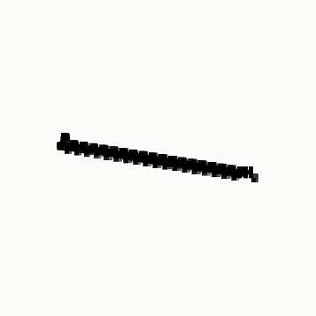 CS(#P)=PP=PP=PP=PP=PP=PP=PP=PP=PP=PP=PP=PP=PP=PP=PP=PP=PP=PP